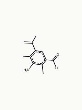 C=C(C)c1cc(C(=O)Cl)c(C)c(N)c1C